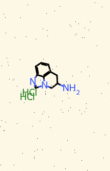 Cl.Cl.NC1Cc2cccc3ncn(c23)C1